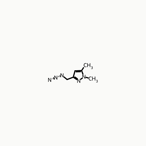 Cc1cc(CN=[N+]=[N-])nn1C